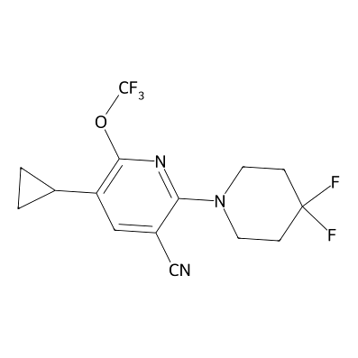 N#Cc1cc(C2CC2)c(OC(F)(F)F)nc1N1CCC(F)(F)CC1